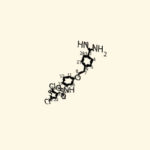 N=C(N)c1ccc(CCOc2cccc(NS(=O)(=O)c3cc(Cl)sc3Cl)c2)cc1